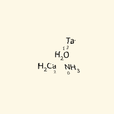 N.O.[CaH2].[Ta]